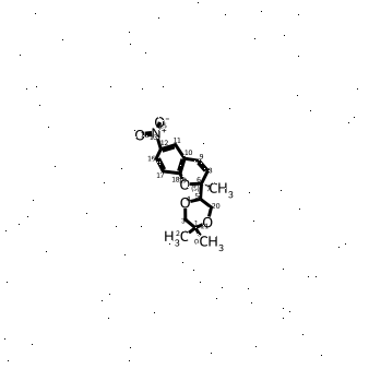 CC1(C)COC([C@]2(C)C=Cc3cc([N+](=O)[O-])ccc3O2)CO1